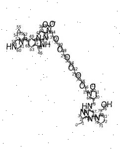 CCc1cnn2c(NCc3ccc(=O)n(CCOCCOCCOCCOCCOCCOCCN4C(=O)OCc5cnc(N[C@@H](C)c6ccc([C@H](CC7CC7)N7CCNCC7)cc6)nc54)c3)cc(N3CCCC[C@H]3CCO)nc12